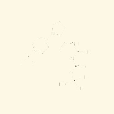 CC(=NC(=O)OC(C)(C)C)NC(=S)[C@H]1CCCN1c1ccc(C(F)(F)F)cc1